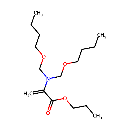 C=C(C(=O)OCCC)N(COCCCC)COCCCC